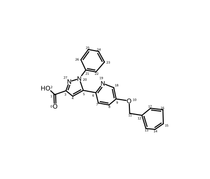 O=C(O)c1cc(-c2ccc(OCc3ccccc3)cn2)n(-c2ccccc2)n1